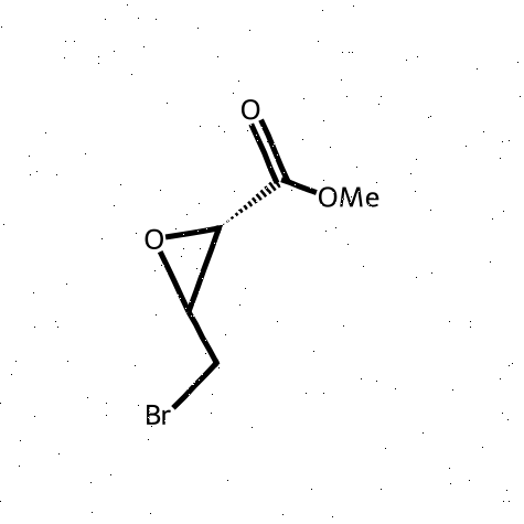 COC(=O)[C@H]1OC1CBr